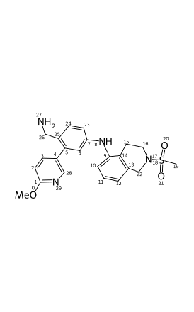 COc1ccc(-c2cc(Nc3cccc4c3CCN(S(C)(=O)=O)C4)ccc2CN)cn1